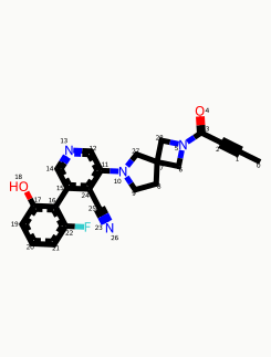 CC#CC(=O)N1CC2(CCN(c3cncc(-c4c(O)cccc4F)c3C#N)C2)C1